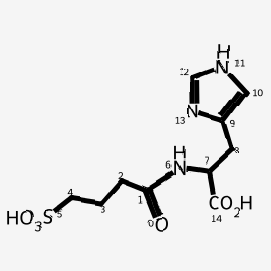 O=C(CCCS(=O)(=O)O)NC(Cc1c[nH]cn1)C(=O)O